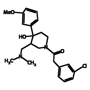 COc1cccc(C2(O)CCN(C(=O)Cc3cccc(Cl)c3)CC2CN(C)C)c1